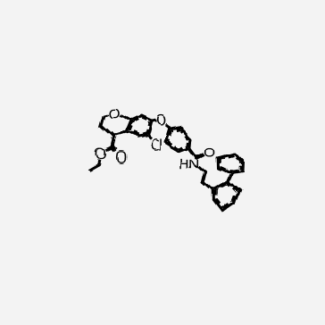 CCOC(=O)C1CCOc2cc(Oc3ccc(C(=O)NCCc4ccccc4-c4ccccc4)cc3)c(Cl)cc21